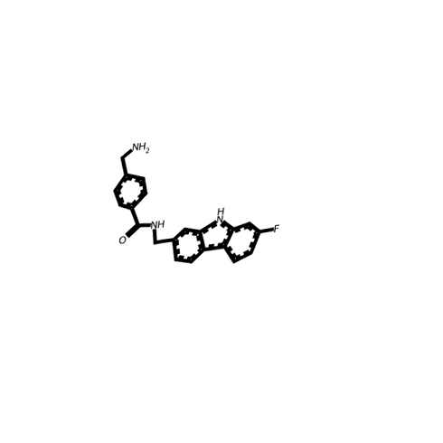 NCc1ccc(C(=O)NCc2ccc3c(c2)[nH]c2cc(F)ccc23)cc1